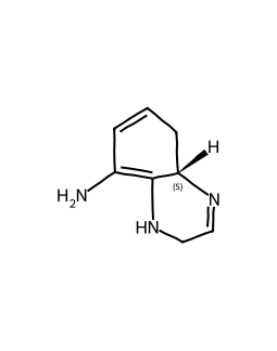 NC1=C2NCC=N[C@H]2CC=C1